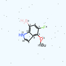 Bc1cc(F)c(OCCCC)c2cc[nH]c12